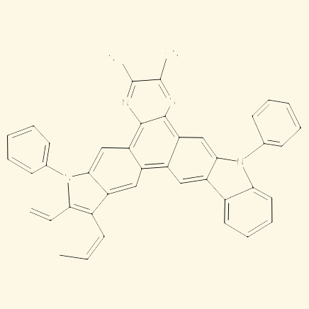 C=Cc1c(/C=C\C)c2cc3c4cc5c6ccccc6n(-c6ccccc6)c5cc4c4nc(C#N)c(C#N)nc4c3cc2n1-c1ccccc1